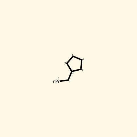 CCCCC1[CH]CCC1